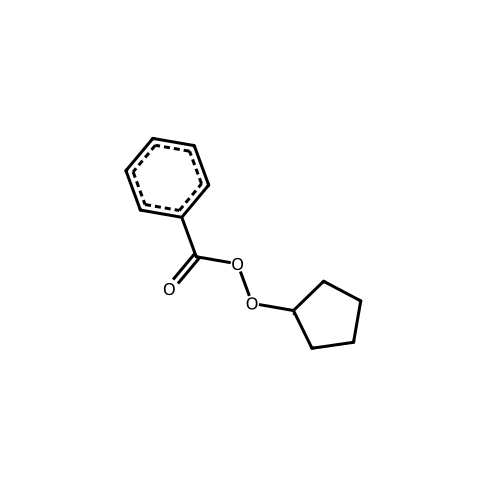 O=C(OO[C]1CCCC1)c1ccccc1